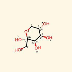 OC[C@@]1(O)OC[C@H](O)[C@@H](O)[C@H]1O